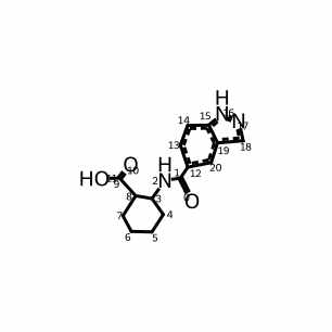 O=C(NC1CCCCC1C(=O)O)c1ccc2[nH]ncc2c1